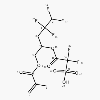 C=C(C)C(=O)OCC(CC(F)(F)C(F)F)OC(=O)C(F)(F)S(=O)(=O)O